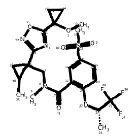 COC1(c2nc(C3(CN(C)C(=O)c4cc(S(C)(=O)=O)ccc4O[C@@H](C)C(F)(F)F)CC3C)no2)CC1